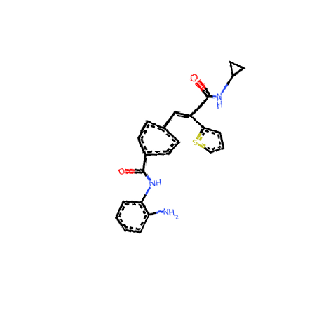 Nc1ccccc1NC(=O)c1ccc(C=C(C(=O)NC2CC2)c2cccs2)cc1